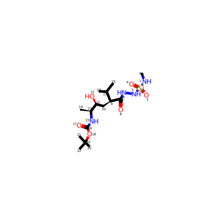 CNS(=O)(=O)NNC(=O)[C@@H](C[C@H](O)[C@H](C)NC(=O)OC(C)(C)C)C(C)C